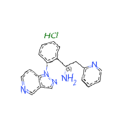 Cl.N[C@@H](Cc1ccccn1)c1ccccc1-n1ncc2cnccc21